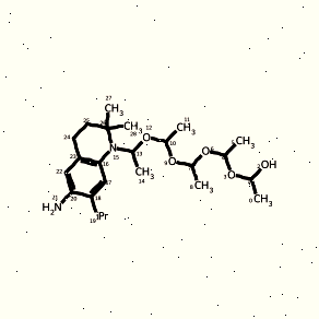 CC(O)OC(C)OC(C)OC(C)OC(C)N1c2cc(C(C)C)c(N)cc2CCC1(C)C